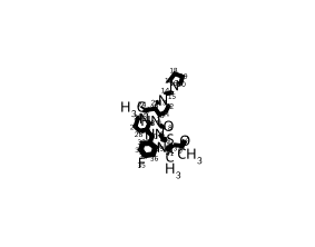 CC(=O)c1sc(NC(=O)N[C@@H]2CCN(CCN3CCCC3)C[C@H]2[C@H](C)N2CCCC(Cc3ccc(F)cc3)C2)nc1C